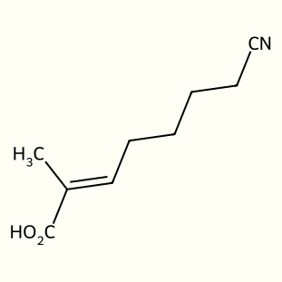 CC(=CCCCCC#N)C(=O)O